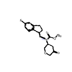 CC(C)(C)OC(=O)/[N+](=C\C1CCc2cc(F)ccc21)C1COCC(=O)C1